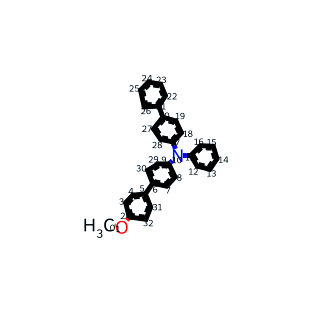 COc1ccc(-c2ccc(N(c3ccccc3)c3ccc(-c4ccccc4)cc3)cc2)cc1